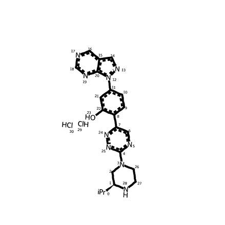 CC(C)[C@H]1CN(c2ncc(-c3ccc(-n4ncc5cncnc54)cc3O)nn2)CCN1.Cl.Cl